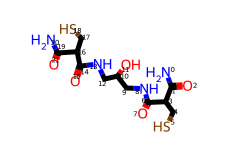 NC(=O)C(CS)C(=O)NCC(O)CNC(=O)C(CS)C(N)=O